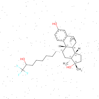 C=C[C@@]12CCc3cc(O)ccc3[C@H]1[C@@H](CCCCCCC(O)C(F)(F)F)C[C@@]1(C)[C@H]2CC[C@]1(C)O